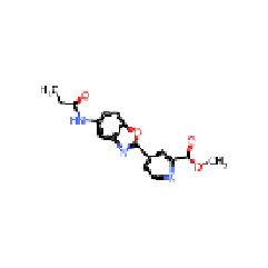 CCC(=O)Nc1ccc2oc(-c3ccnc(C(=O)OC)c3)nc2c1